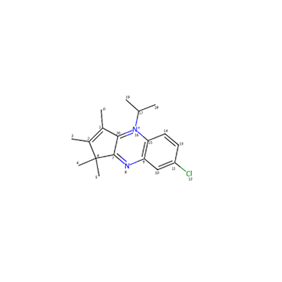 CC1=C(C)C(C)(C)c2nc3cc(Cl)ccc3[n+](C(C)C)c21